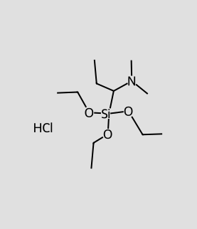 CCO[Si](OCC)(OCC)C(CC)N(C)C.Cl